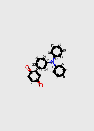 O=C1C=CC(=O)C=C1.c1ccc(N(c2ccccc2)c2ccccc2)cc1